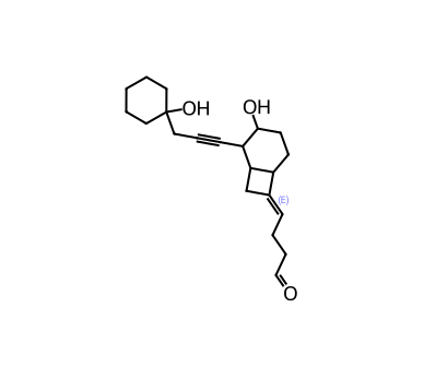 O=CCC/C=C1\CC2C1CCC(O)C2C#CCC1(O)CCCCC1